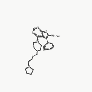 CC(=O)Nc1sc2ncnc(N3CCC(COCCN4CCCC4)CC3)c2c1-c1ccccc1